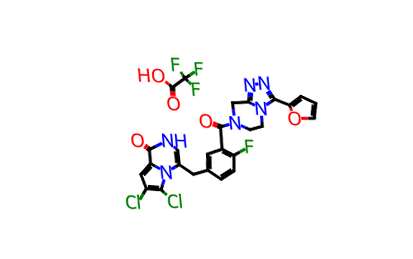 O=C(O)C(F)(F)F.O=C(c1cc(Cc2c[nH]c(=O)c3cc(Cl)c(Cl)n23)ccc1F)N1CCn2c(nnc2-c2ccco2)C1